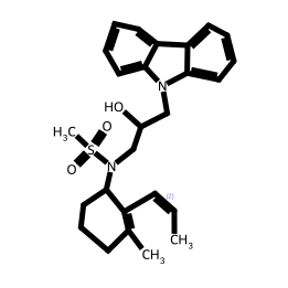 C/C=C\C1=C(C)CCCC1N(CC(O)Cn1c2ccccc2c2ccccc21)S(C)(=O)=O